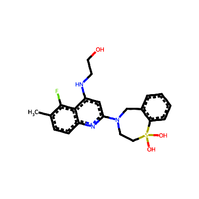 Cc1ccc2nc(N3CCS(O)(O)c4ccccc4C3)cc(NCCO)c2c1F